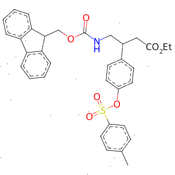 CCOC(=O)CC(CNC(=O)OCC1c2ccccc2-c2ccccc21)c1ccc(OS(=O)(=O)c2ccc(C)cc2)cc1